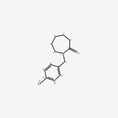 S=C1CCCCCN1Cc1ccc(Cl)nc1